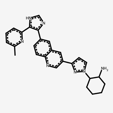 Cc1cccc(-c2[nH]cnc2-c2ccc3ncc(-c4ccn(C5CCCCC5N)n4)cc3c2)n1